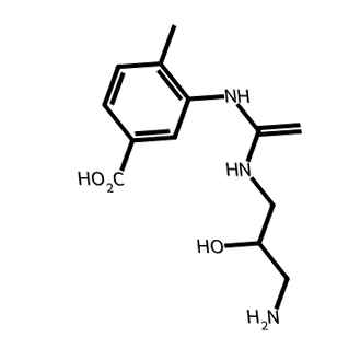 C=C(NCC(O)CN)Nc1cc(C(=O)O)ccc1C